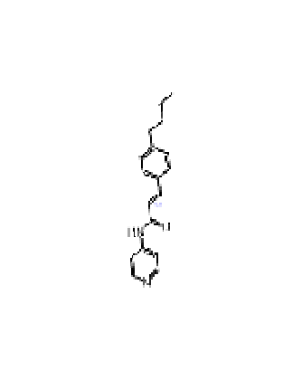 CCCCc1ccc(/C=C/C(=O)Nc2ccncc2)cc1